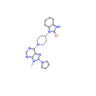 Cn1c(-n2cccc2)nc2c(N3CCC(n4c(=O)[nH]c5ccccc54)CC3)ncnc21